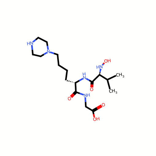 CC(C)[C@H](NO)C(=O)N[C@@H](CCCCN1CCNCC1)C(=O)NCC(=O)O